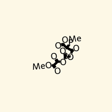 COC(=O)C(=O)OB1OC(=O)C(F)(C(=O)OC)O1